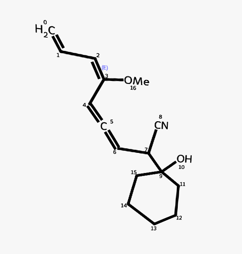 C=C/C=C(\C=C=CC(C#N)C1(O)CCCCC1)OC